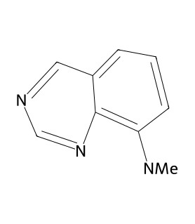 CNc1cccc2cncnc12